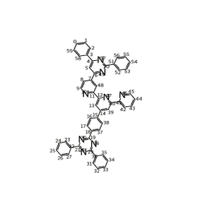 c1ccc(-c2cc(-c3ccnc(-c4cc(-c5ccc(-c6nc(-c7ccccc7)nc(-c7ccccc7)n6)cc5)cc(-c5ccccn5)n4)c3)nc(-c3ccccc3)n2)cc1